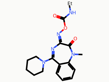 CCNC(=O)ON=c1nc(N2CCCCC2)c2ccccc2n(C)c1=O